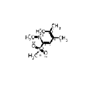 C=N/C(=C\C(C)=C(C)C)S(C)(=O)=O